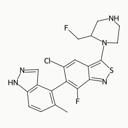 Cc1ccc2[nH]ncc2c1-c1c(Cl)cc2c(N3CCNCC3CF)snc2c1F